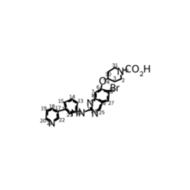 O=C(O)N1CCC(Oc2cc3nc(Nc4cccc(-c5cccnc5)c4)ncc3cc2Br)CC1